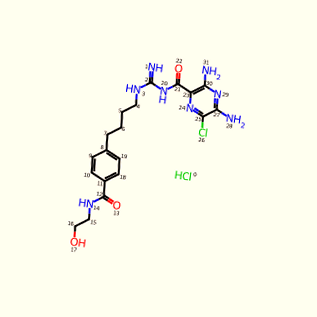 Cl.N=C(NCCCCc1ccc(C(=O)NCCO)cc1)NC(=O)c1nc(Cl)c(N)nc1N